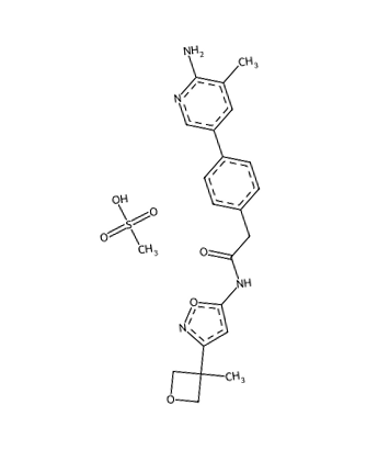 CS(=O)(=O)O.Cc1cc(-c2ccc(CC(=O)Nc3cc(C4(C)COC4)no3)cc2)cnc1N